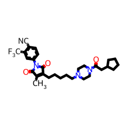 CC1=C(CCCCCN2CCN(C(=O)CC3CCCC3)CC2)C(=O)N(c2ccc(C#N)c(C(F)(F)F)c2)C1=O